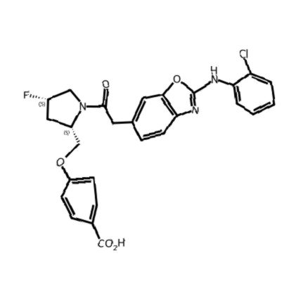 O=C(O)c1ccc(OC[C@@H]2C[C@H](F)CN2C(=O)Cc2ccc3nc(Nc4ccccc4Cl)oc3c2)cc1